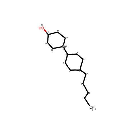 CCCCCC1CCC([SiH]2CCC(O)CC2)CC1